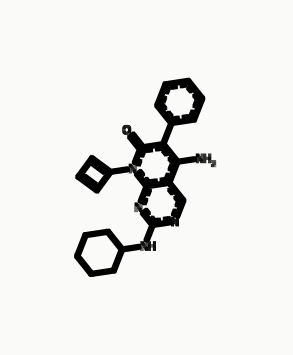 Nc1c(-c2ccccc2)c(=O)n(C2=CC=C2)c2nc(NC3CCCCC3)ncc12